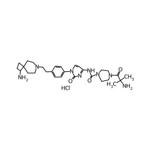 CC(C)(N)C(=O)N1CCN(C(=O)Nc2ccn(-c3ccc(CCN4CCC5(CCC5N)CC4)cc3)c(=O)n2)CC1.Cl